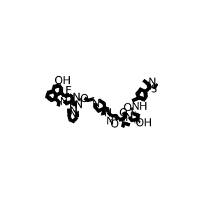 CCc1cccc2cc(O)cc(-c3ncc4c(N5CC6CCC(C5)N6)nc(OCCN5CCC6(CC5)CN(c5cc([C@H](C(=O)N7C[C@H](O)C[C@H]7C(=O)NCc7ccc(-c8scnc8C)cc7)C(C)C)on5)C6)nc4c3F)c12